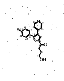 O=C(CCCO)c1cc(-c2ccncc2)c(-c2ccc(F)cc2)s1